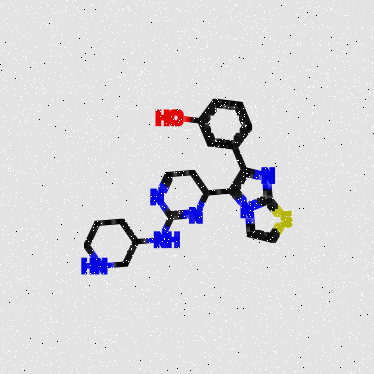 Oc1cccc(-c2nc3sccn3c2C2CC=NC(NC3CCCNC3)=N2)c1